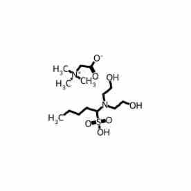 CCCCC(N(CCO)CCO)S(=O)(=O)O.C[N+](C)(C)CC(=O)[O-]